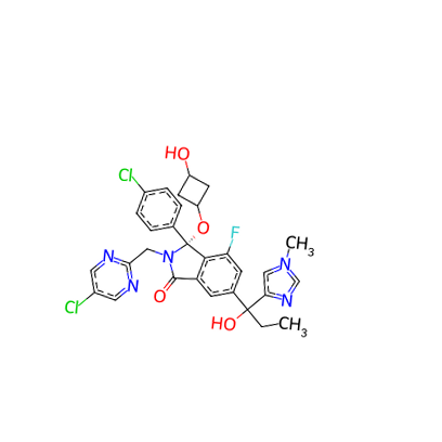 CCC(O)(c1cc(F)c2c(c1)C(=O)N(Cc1ncc(Cl)cn1)[C@@]2(OC1CC(O)C1)c1ccc(Cl)cc1)c1cn(C)cn1